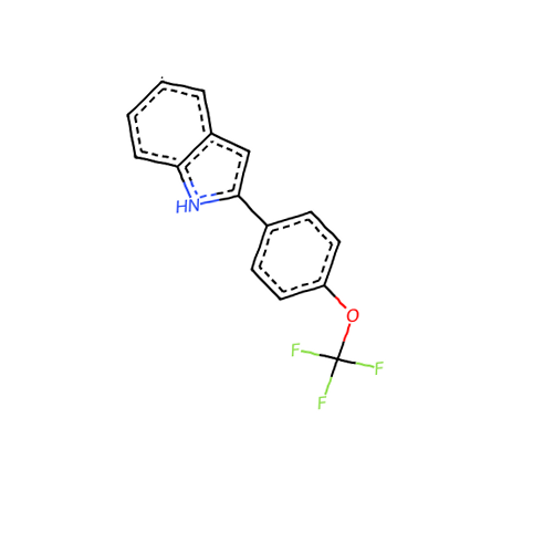 FC(F)(F)Oc1ccc(-c2cc3c[c]ccc3[nH]2)cc1